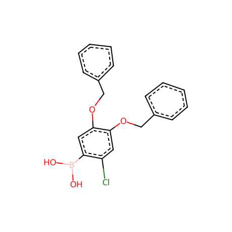 OB(O)c1cc(OCc2ccccc2)c(OCc2ccccc2)cc1Cl